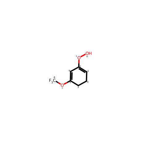 OOC1=CCCC(OC(F)(F)F)=C1